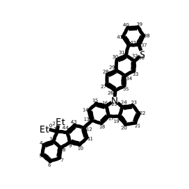 CCC1(CC)c2ccccc2-c2ccc(-c3ccc4c(c3)c3ccccc3n4-c3ccc4cc5c(cc4c3)sc3ccccc35)cc21